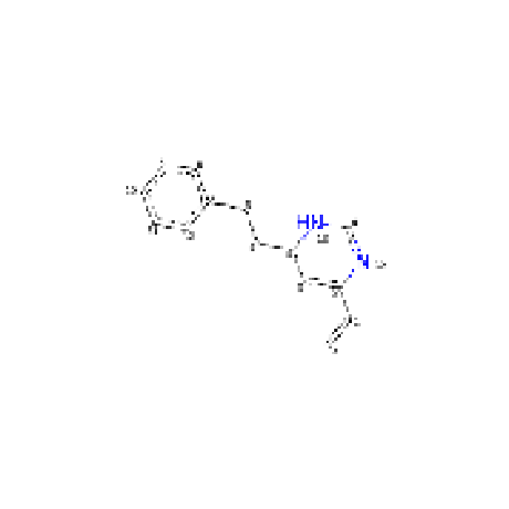 C=CC1=CC(CCc2ccccc2)NC=N1